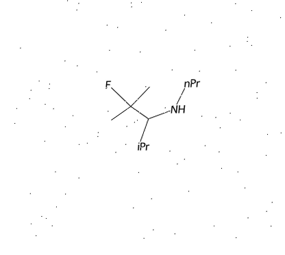 CCCNC(C(C)C)C(C)(C)F